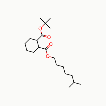 CC(C)CCCCCOC(=O)C1CCCCC1C(=O)OC(C)(C)C